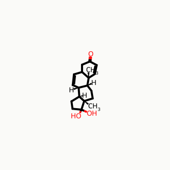 C[C@]12C=CC(=O)CC1C=C[C@@H]1[C@H]2CC[C@@]2(C)[C@H]1CCC2(O)O